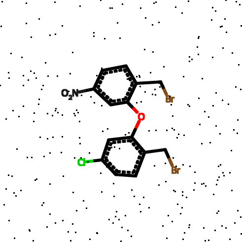 O=[N+]([O-])c1ccc(CBr)c(Oc2cc(Cl)ccc2CBr)c1